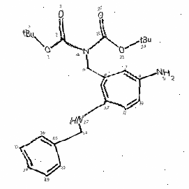 CC(C)(C)OC(=O)N(Cc1cc(N)ccc1NCc1ccccc1)C(=O)OC(C)(C)C